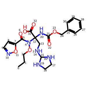 CCCON(C(=O)c1ccno1)C(CNC1NCCN1)(NC(=O)OCc1ccccc1)C(=O)O